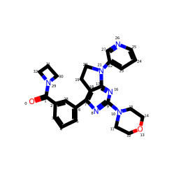 O=C(c1cccc(-c2nc(N3CCOCC3)nc3c2CCN3c2cccnc2)c1)N1CCC1